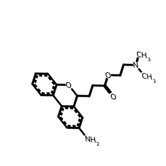 CN(C)CCOC(=O)CCC1Oc2ccccc2-c2ccc(N)cc21